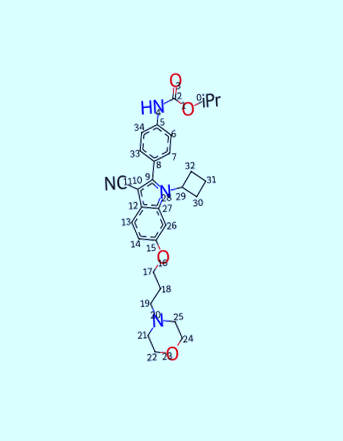 CC(C)OC(=O)Nc1ccc(-c2c(C#N)c3ccc(OCCCN4CCOCC4)cc3n2C2CCC2)cc1